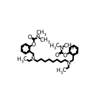 CCN(CCCCCCCCN(CC)Cc1ccccc1OC(=O)N(C)C)Cc1ccccc1OC(=O)N(C)C